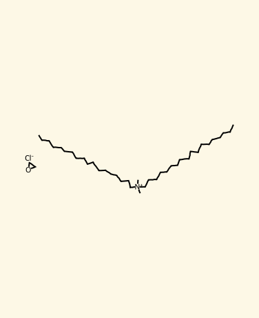 C1CO1.CCCCCCCCCCCCCCCCCC[N+](C)(C)CCCCCCCCCCCCCCCCCC.[Cl-]